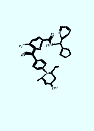 CCC1CC(O)CC(C)N1c1ccc(C(=N)c2cc(C(=O)NC(c3ccccn3)C3CCCC3)ccc2N)cc1